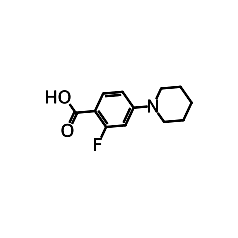 O=C(O)c1ccc(N2CCCCC2)cc1F